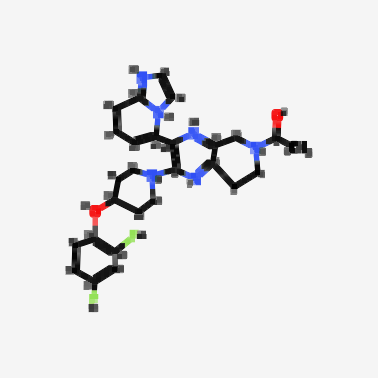 CC(=O)N1CCc2nc(N3CCC(Oc4ccc(F)cc4F)CC3)c(-c3cccc4nccn34)nc2C1